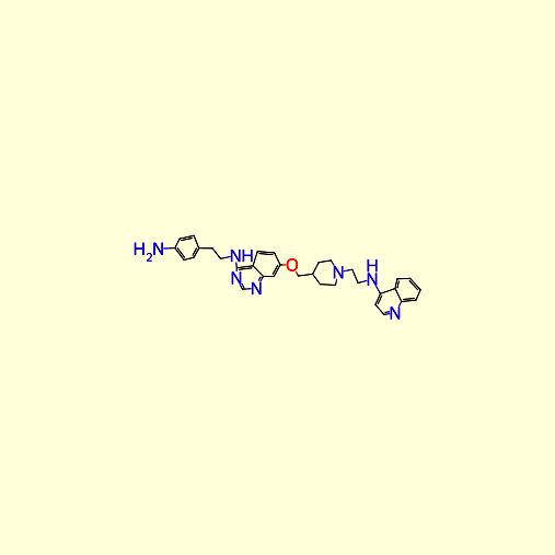 Nc1ccc(CCNc2ncnc3cc(OCC4CCN(CCNc5ccnc6ccccc56)CC4)ccc23)cc1